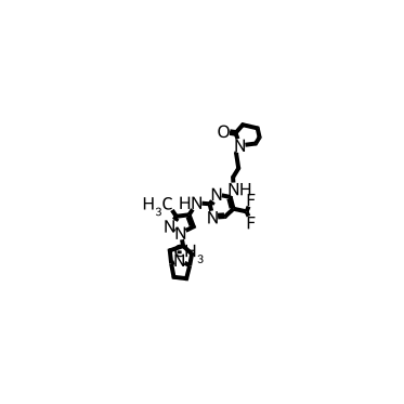 Cc1nn(C2CC3CCC(C2)N3C)cc1Nc1ncc(C(F)F)c(NCCCN2CCCCC2=O)n1